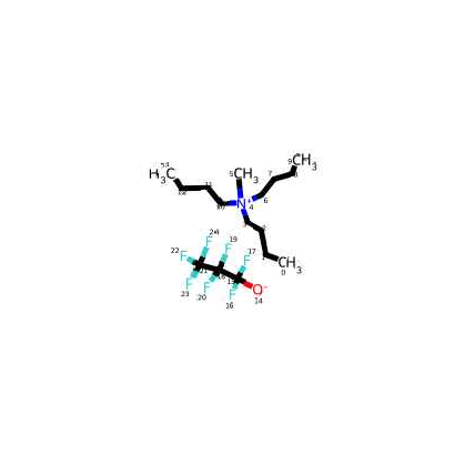 CCCC[N+](C)(CCCC)CCCC.[O-]C(F)(F)C(F)(F)C(F)(F)F